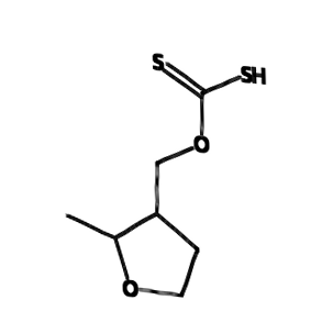 CC1OCCC1COC(=S)S